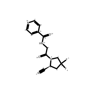 N#C[C@@H]1CC(F)(F)CN1C(=O)CNC(=O)c1ccncc1